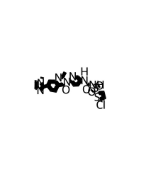 Cc1nc2cc(C3=NCCN3C)ccc2c(=O)n1-c1ccc(NC(=O)NS(=O)(=O)c2ccc(Cl)s2)cn1